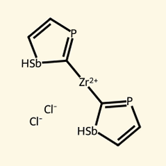 C1=[CH][SbH][C]([Zr+2][C]2=PC=[CH][SbH]2)=P1.[Cl-].[Cl-]